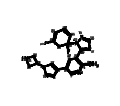 Nc1ncc(-c2cnn(C3CNC3)c2)cc1-c1nnnn1C1(F)C=CC=C(F)C1